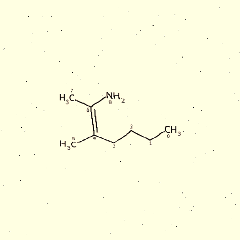 CCCCC(C)=C(C)N